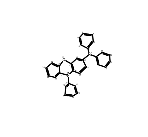 c1ccc(N(c2ccccc2)c2ccc3c(c2)Oc2ccccc2N3c2ccccc2)cc1